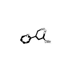 COC(=O)CC(C[N+](=O)[O-])c1ccccn1